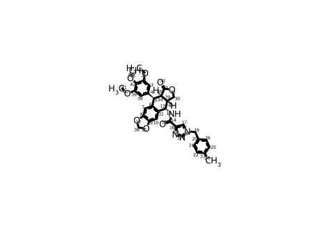 COc1cc([C@@H]2c3cc4c(cc3[C@@H](NC(=O)c3cn(Cc5ccc(C)cc5)nn3)[C@H]3COC(=O)[C@H]23)OCO4)cc(OC)c1OC